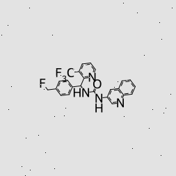 O=C(Nc1cnc2ccccc2c1)N[C@@H](c1ccc(CF)cc1)c1ncccc1C(F)(F)F